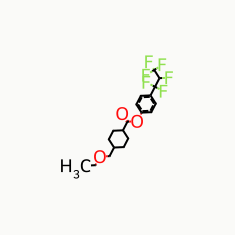 CCOCC1CCC(C(=O)Oc2ccc(C(F)(F)C(F)C(F)(F)F)cc2)CC1